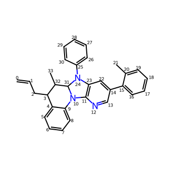 C=CCC1c2ccccc2N2c3ncc(-c4ccccc4C)cc3N(c3ccccc3)C2C1C